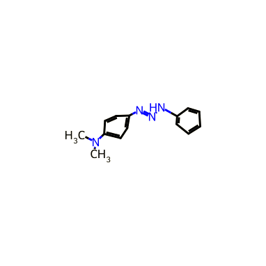 CN(C)c1ccc(N=NNc2ccccc2)cc1